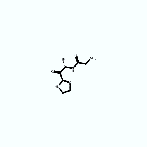 CC(C)[C@H](NC(=O)CN)C(=O)C1NCCS1